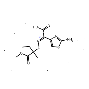 CCC(C)(O/N=C(/C(=O)O)c1csc(N)n1)C(=O)OC